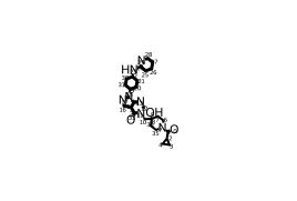 O=C(C1CC1)N1CCC(O)(Cn2cnc3c(cnn3-c3ccc(Nc4ccccn4)cc3)c2=O)CC1